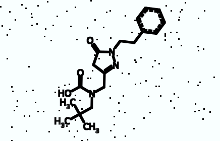 CC(C)(C)CN(CC1=NN(CCc2ccccc2)C(=O)C1)C(=O)O